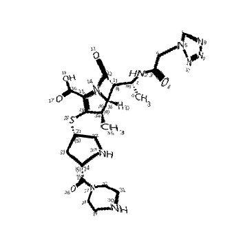 C[C@@H](NC(=O)Cn1cnnn1)[C@H]1C(=O)N2C(C(=O)O)=C(S[C@@H]3CN[C@H](C(=O)N4CCNCC4)C3)[C@H](C)[C@@H]12